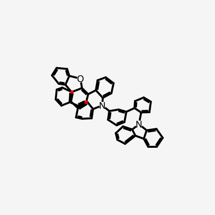 c1ccc(-c2cccc(N(c3cccc(-c4ccccc4-n4c5ccccc5c5ccccc54)c3)c3ccccc3-c3cccc4c3oc3ccccc34)c2)cc1